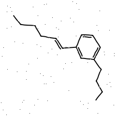 CCCCC=Cc1cccc(CCCC)c1